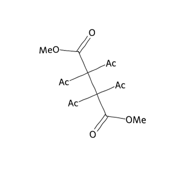 COC(=O)C(C(C)=O)(C(C)=O)C(C(C)=O)(C(C)=O)C(=O)OC